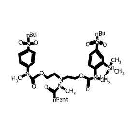 CCCCCC(=O)N(C)N(CCOC(=O)N(C)c1ccc(S(=O)(=O)CCCC)cc1)CCOC(=O)N(C)c1ccc(S(=O)(=O)CCCC)c[c]1[Sn]([CH3])([CH3])[CH3]